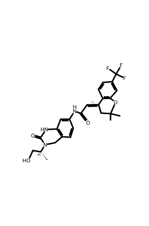 C[C@H](CO)N1Cc2ccc(NC(=O)/C=C3\CC(C)(C)Oc4cc(C(F)(F)F)ccc43)cc2NC1=O